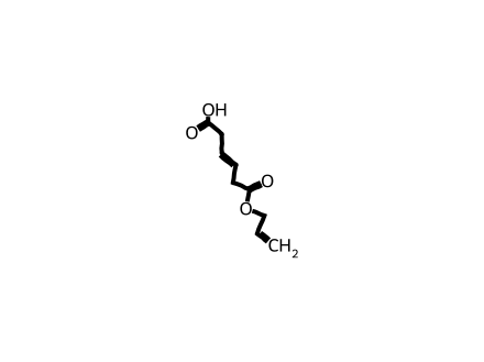 C=CCOC(=O)CC=CCC(=O)O